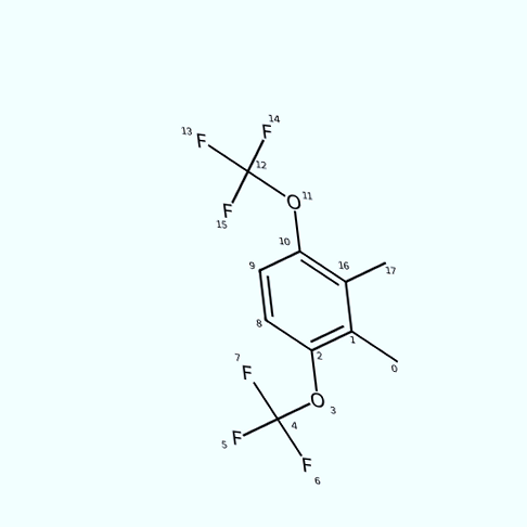 Cc1c(OC(F)(F)F)ccc(OC(F)(F)F)c1C